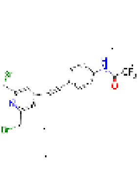 O=C(Nc1ccc(C#Cc2cc(CBr)nc(CBr)c2)cc1)C(F)(F)F